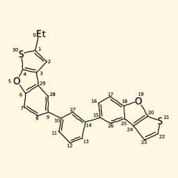 CCc1cc2c(oc3ccc(-c4cccc(-c5ccc6oc7sccc7c6c5)c4)cc32)s1